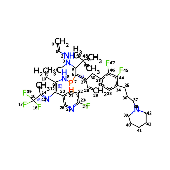 C=CNN(C)C(/C(PN/C(C=C)=C(/N=C(\C)C(F)(F)F)c1ccc(F)nc1)=C(/C=C)Cc1ccc(CCCN2CCCCC2)c(F)c1F)C(C)(C)C